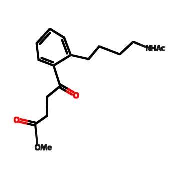 COC(=O)CCC(=O)c1ccccc1CCCCNC(C)=O